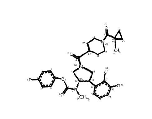 CN(C(=O)Oc1ccc(F)cc1)[C@H]1CN(C(=O)C2CCN(C(=O)C3(C)CC3)CC2)CC1c1cccc(Cl)c1Cl